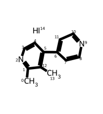 Cc1nccc(-c2ccncc2)c1C.I